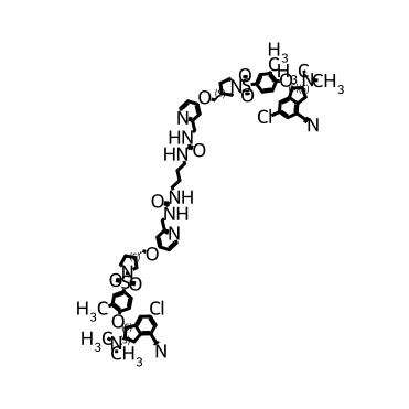 Cc1cc(S(=O)(=O)N2CC[C@H](COc3ccnc(CNC(=O)NCCCCNC(=O)NCc4cc(OC[C@H]5CCN(S(=O)(=O)c6ccc(O[C@H]7c8cc(Cl)cc(C#N)c8C[C@@H]7N(C)C)c(C)c6)C5)ccn4)c3)C2)ccc1O[C@H]1c2cc(Cl)cc(C#N)c2C[C@@H]1N(C)C